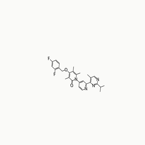 Cc1cnc(C(C)C)nc1-c1cc(-n2c(C)c(C)c(OCc3ccc(F)cc3F)c(C)c2=O)ccn1